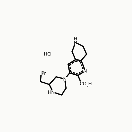 CC(C)CC1CN(c2cc3c(nc2C(=O)O)CCNC3)CCN1.Cl